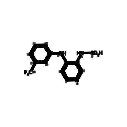 O=S(=O)(O)Nc1cnccc1Nc1cccc(C(F)(F)F)c1